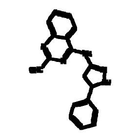 O=Cc1nc(NC2=NNC(c3ccccc3)C2)c2ccccc2n1